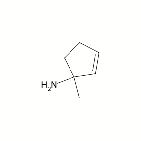 CC1(N)C=CCC1